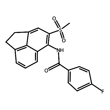 CS(=O)(=O)c1cc2c3c(cccc3c1NC(=O)c1ccc(F)cc1)CC2